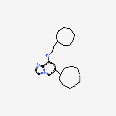 c1cn2cc(C3CCCCCCCCC3)cc(NCCC3CCCCCCCC3)c2n1